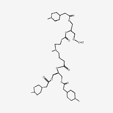 CC1CCC(CC(=O)OCC(COC=O)OC(=O)CCCN(C)CCCC(=O)OC(COC(=O)CC2CCC(C)CC2)COC(=O)CC2CCC(C)CC2)CC1